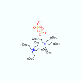 CCCCCCCCCCCC[N+](CCCCCCCCCCCC)(CCCCCCCCCCCC)CCCCCCCCCCCC.CCCCCCCCCCCC[N+](CCCCCCCCCCCC)(CCCCCCCCCCCC)CCCCCCCCCCCC.O=S(=O)([O-])OS(=O)(=O)O[O-]